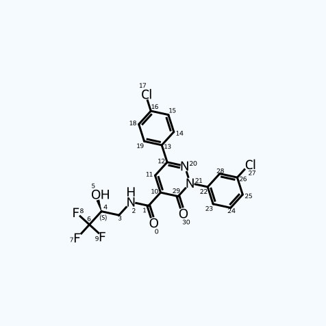 O=C(NC[C@H](O)C(F)(F)F)c1cc(-c2ccc(Cl)cc2)nn(-c2cccc(Cl)c2)c1=O